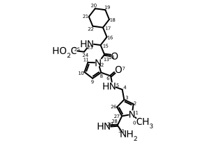 Cn1cc(CNC(=O)c2cccn2C(=O)C(CC2CCCCC2)NCC(=O)O)cc1C(=N)N